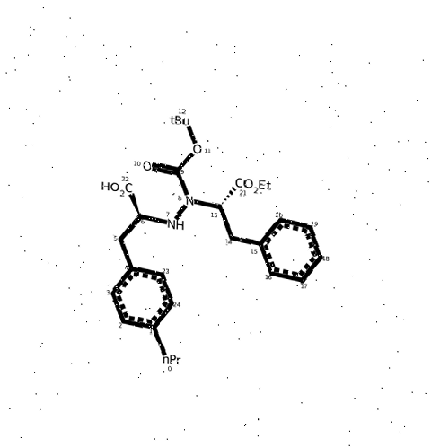 CCCc1ccc(C[C@H](NN(C(=O)OC(C)(C)C)[C@@H](Cc2ccccc2)C(=O)OCC)C(=O)O)cc1